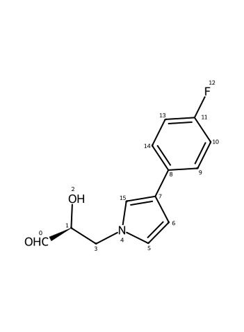 O=C[C@@H](O)Cn1ccc(-c2ccc(F)cc2)c1